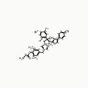 Cc1cc(C[n+]2cnn(C[C@](O)(c3cc(F)ccc3F)[C@@H](C)c3nc(-c4ccc(C#N)cc4)cs3)c2)cc(C)c1OC(=O)CN.[Br-]